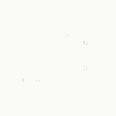 CCOc1ccc(O)c(C(N)CC)c1